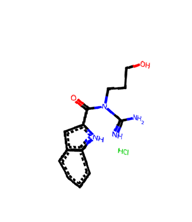 Cl.N=C(N)N(CCCO)C(=O)c1cc2ccccc2[nH]1